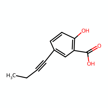 CCC#Cc1ccc(O)c(C(=O)O)c1